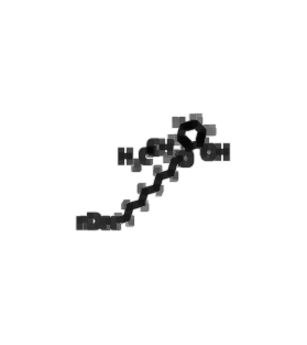 CC.CCCCCCCCCCCCCCCCCCOc1ccccc1O